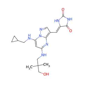 CC(C)(CO)CNc1cc(NCC2CC2)n2ncc(/C=C3\NC(=O)NC3=O)c2n1